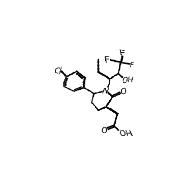 CCC(C(O)C(F)(F)F)N1C(=O)C(CC(=O)O)CCC1c1ccc(Cl)cc1